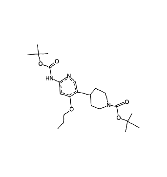 CCCOc1cc(NC(=O)OC(C)(C)C)ncc1C1CCN(C(=O)OC(C)(C)C)CC1